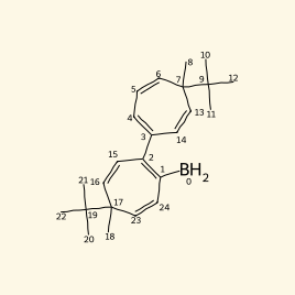 BC1=C(C2=CC=CC(C)(C(C)(C)C)C=C2)C=CC(C)(C(C)(C)C)C=C1